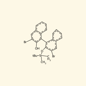 CC(C)(C)[Si](C)(C)Oc1c(Br)cc2ccccc2c1-c1c(O)c(Br)cc2ccccc12